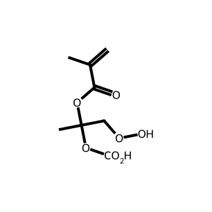 C=C(C)C(=O)OC(C)(COO)OC(=O)O